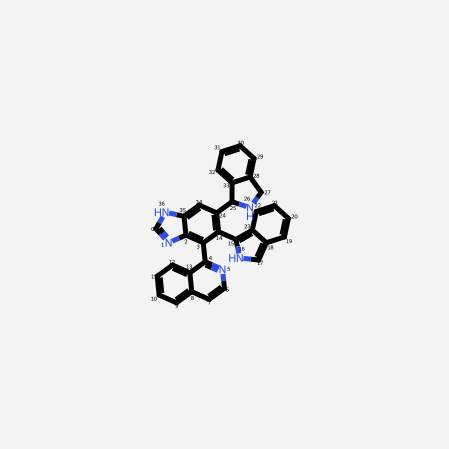 [c]1nc2c(-c3nccc4ccccc34)c(-c3[nH]cc4ccccc34)c(C3NCc4ccccc43)cc2[nH]1